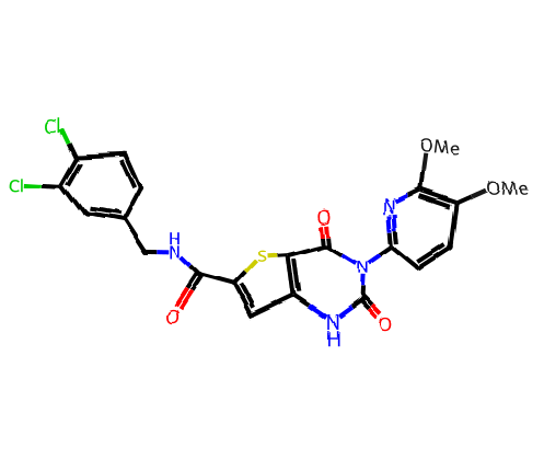 COc1ccc(-n2c(=O)[nH]c3cc(C(=O)NCc4ccc(Cl)c(Cl)c4)sc3c2=O)nc1OC